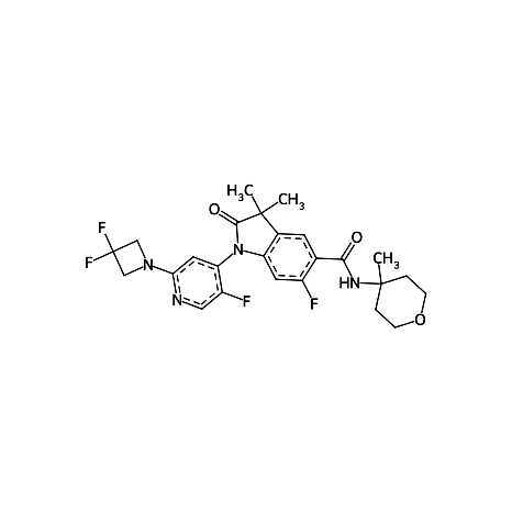 CC1(NC(=O)c2cc3c(cc2F)N(c2cc(N4CC(F)(F)C4)ncc2F)C(=O)C3(C)C)CCOCC1